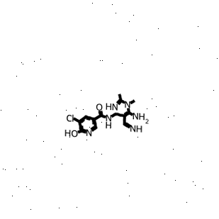 CC(=N)N(C)/C(N)=C(/C=N)CNC(=O)c1cnc(O)c(Cl)c1